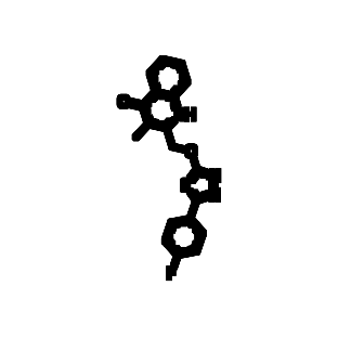 Cc1c(COc2nnc(-c3ccc(F)cc3)s2)[nH]c2ccccc2c1=O